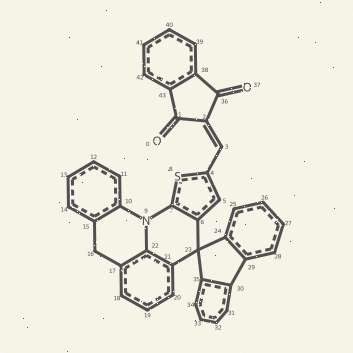 O=C1C(=Cc2cc3c(s2)N2c4ccccc4Cc4cccc(c42)C32c3ccccc3-c3ccccc32)C(=O)c2ccccc21